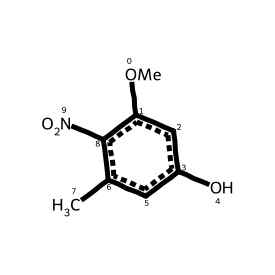 COc1cc(O)cc(C)c1[N+](=O)[O-]